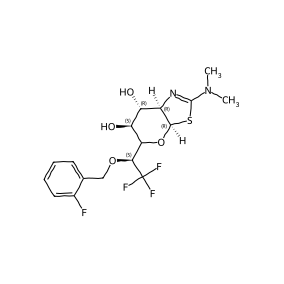 CN(C)C1=N[C@@H]2[C@@H](O)[C@H](O)C([C@H](OCc3ccccc3F)C(F)(F)F)O[C@@H]2S1